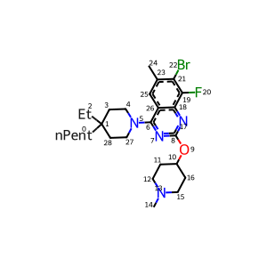 CCCCCC1(CC)CCN(c2nc(OC3CCN(C)CC3)nc3c(F)c(Br)c(C)cc23)CC1